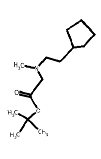 CN(CCC1CCCC1)CC(=O)OC(C)(C)C